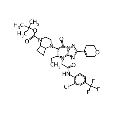 CCc1c(N2CCN(C(=O)OC(C)(C)C)C3CCC32)c(=O)n2nc(C3=CCOCC3)nc2n1CC(=O)Nc1ccc(C(F)(F)F)cc1Cl